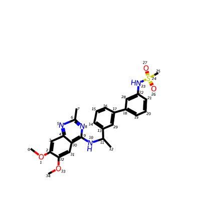 COc1cc2nc(C)nc(NC(C)c3cccc(-c4cccc(NS(C)(=O)=O)c4)c3)c2cc1OC